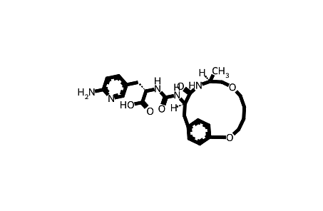 C[C@H]1COCCCCOc2ccc(cc2)C[C@@H](NC(=O)N[C@@H](Cc2ccc(N)nc2)C(=O)O)C(=O)N1